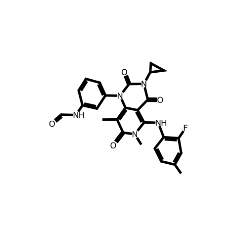 Cc1ccc(Nc2c3c(=O)n(C4CC4)c(=O)n(-c4cccc(NC=O)c4)c3c(C)c(=O)n2C)c(F)c1